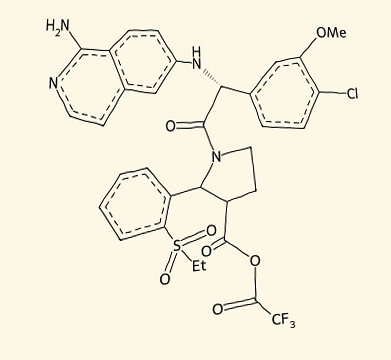 CCS(=O)(=O)c1ccccc1C1C(C(=O)OC(=O)C(F)(F)F)CCN1C(=O)[C@H](Nc1ccc2c(N)nccc2c1)c1ccc(Cl)c(OC)c1